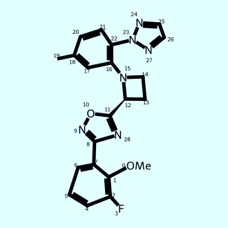 COc1c(F)cccc1-c1noc([C@@H]2CCN2c2cc(C)c[c]c2-n2nccn2)n1